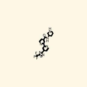 O=C(NC1CCCNC1)c1ccnc(-c2cc(-c3noc(C(F)(F)F)n3)ccn2)c1